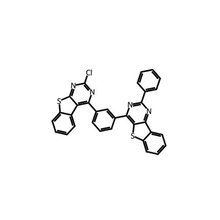 Clc1nc(-c2cccc(-c3nc(-c4ccccc4)nc4c3sc3ccccc34)c2)c2c(n1)sc1ccccc12